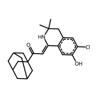 CC1(C)Cc2cc(Cl)c(O)cc2/C(=C/C(=O)C23CC4CC(CC(C4)C2)C3)N1